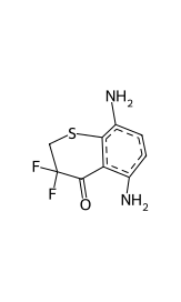 Nc1ccc(N)c2c1SCC(F)(F)C2=O